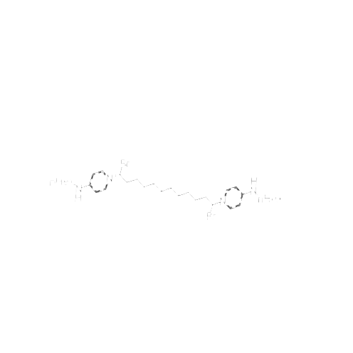 CCCCCCNc1cc[n+](C(Br)CCCCCCCCCCC(Br)[n+]2ccc(NCCCCCC)cc2)cc1